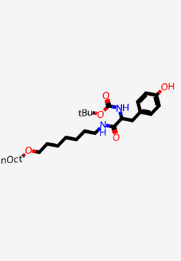 CCCCCCCCOCCCCCCCNC(=O)C(Cc1ccc(O)cc1)NC(=O)OC(C)(C)C